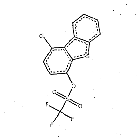 O=S(=O)(Oc1ccc(Cl)c2c1sc1ccccc12)C(F)(F)F